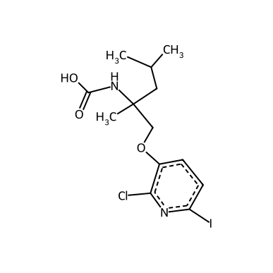 CC(C)CC(C)(COc1ccc(I)nc1Cl)NC(=O)O